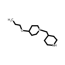 CCCOC1CCN(CC2CCNCC2)CC1